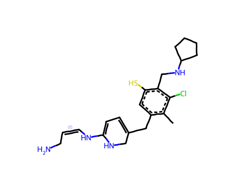 Cc1c(CC2=CC=C(N/C=C\CN)NC2)cc(S)c(CNC2CCCC2)c1Cl